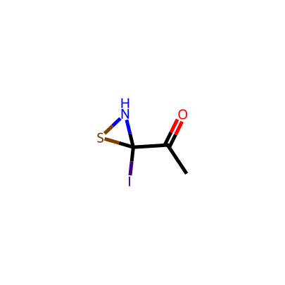 CC(=O)C1(I)NS1